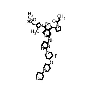 C=CC(=O)N1CCC[C@H]1c1nnc(N2C[C@H](CS(C)(=O)=O)[C@H]2C)c2cnc(Nc3ccnc(N4CC[C@@H](OC5CCN(C6CCOCC6)CC5)[C@@H](F)C4)n3)cc12